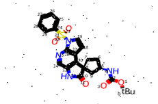 CC(C)(C)OC(=O)N[C@@H]1CC[C@@]2(C1)C(=O)Nc1cnc3c(ccn3S(=O)(=O)c3ccccc3)c12